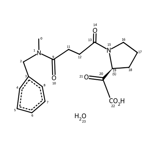 CN(Cc1ccccc1)C(=O)CCC(=O)N1CCC[C@H]1C(=O)C(=O)O.O